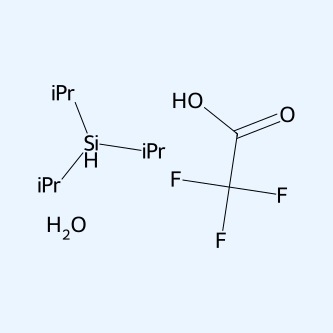 CC(C)[SiH](C(C)C)C(C)C.O.O=C(O)C(F)(F)F